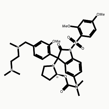 COc1ccc(S(=O)(=O)N2C(=O)C(c3ccc(CN(C)CCN(C)C)cc3OC)(N3CCC[C@@H]3OC(=O)N(C)C)c3cc(Cl)ccc32)c(OC)c1